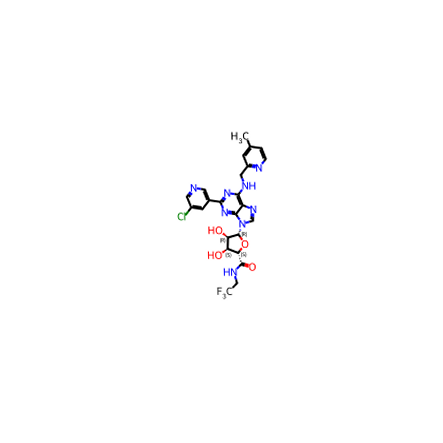 Cc1ccnc(CNc2nc(-c3cncc(Cl)c3)nc3c2ncn3[C@@H]2O[C@H](C(=O)NCC(F)(F)F)[C@@H](O)[C@H]2O)c1